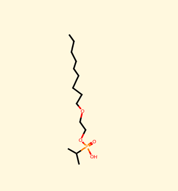 CCCCCCCCCOCCOP(=O)(O)C(C)C